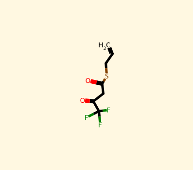 C=CCSC(=O)CC(=O)C(F)(F)F